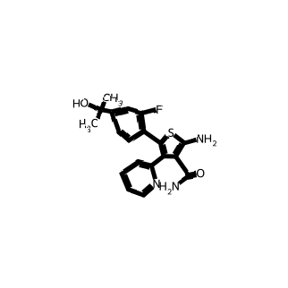 CC(C)(O)c1ccc(-c2sc(N)c(C(N)=O)c2-c2ccccn2)c(F)c1